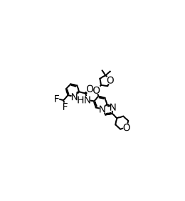 CC1(C)CC(Oc2cc3nc(C4CCOCC4)cn3cc2NC(=O)c2cccc(C(F)F)n2)CO1